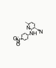 Cc1ccc(C#N)c(Nc2ccc([N+](=O)[O-])cc2)n1